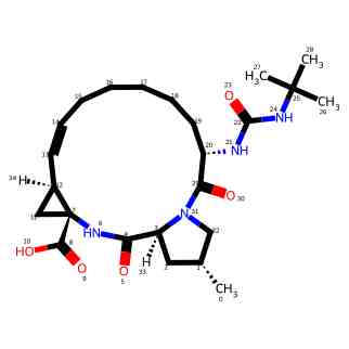 C[C@@H]1C[C@H]2C(=O)N[C@]3(C(=O)O)C[C@H]3/C=C\CCCCC[C@H](NC(=O)NC(C)(C)C)C(=O)N2C1